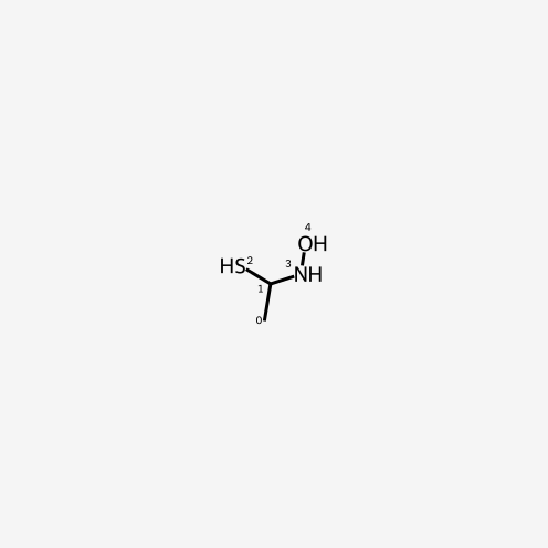 CC(S)NO